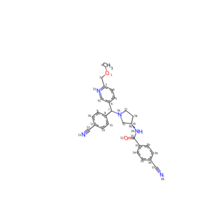 COCc1ccc(C(c2ccc(C#N)cc2)N2CC[C@@H](NC(=O)c3ccc(C#N)cc3)C2)cn1